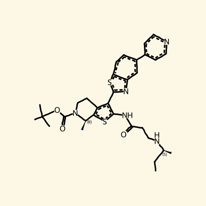 CC[C@H](C)NCCC(=O)Nc1sc2c(c1-c1nc3cc(-c4ccncc4)ccc3s1)CCN(C(=O)OC(C)(C)C)[C@@H]2C